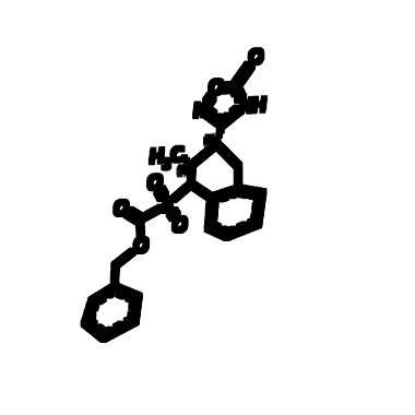 C[C@H]1C(S(=O)(=O)C(=O)OCc2ccccc2)c2ccccc2C[C@H]1c1noc(=O)[nH]1